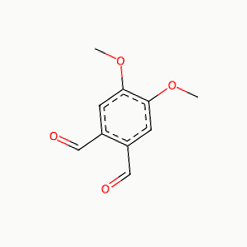 COc1cc(C=O)c(C=O)cc1OC